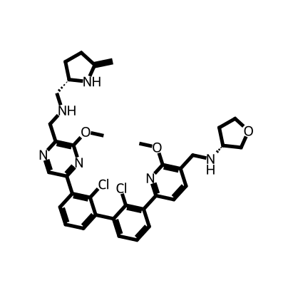 C=C1CC[C@@H](CNCc2ncc(-c3cccc(-c4cccc(-c5ccc(CN[C@@H]6CCOC6)c(OC)n5)c4Cl)c3Cl)nc2OC)N1